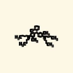 CCCCN(CCCC)c1ccc(C(c2ccc(N(CCCC)CCCC)c(C)c2)c2ccccc2Cl)cc1C